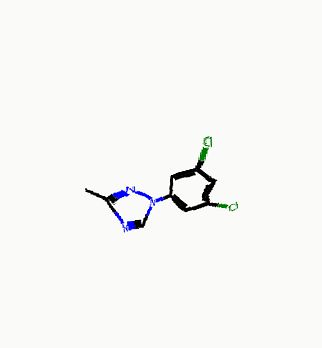 Cc1ncn(-c2cc(Cl)cc(Cl)c2)n1